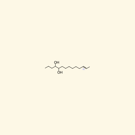 C/C=C/CCCCCCC(O)C(O)CCC